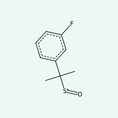 CC(C)([S+]=O)c1cccc(F)c1